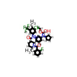 Cc1ccc(NC(=O)[C@H]2CCCN(C(=O)c3c(C)cccc3F)[C@H]2c2ccc(N(C3CCCC3)C(O)OCCl)cc2)cc1C(F)(F)F